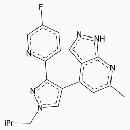 Cc1cc(-c2cn(CC(C)C)nc2-c2ccc(F)cn2)c2cn[nH]c2n1